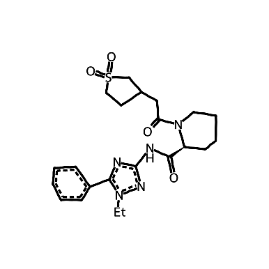 CCn1nc(NC(=O)[C@@H]2CCCCN2C(=O)CC2CCS(=O)(=O)C2)nc1-c1ccccc1